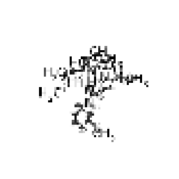 C=CCC(C)(C)COC(=O)N[C@H](C(=O)N1C[C@H](OC(=O)N2Cc3cccc(C=C)c3C2)C[C@H]1C(=O)OC)C(C)(C)C